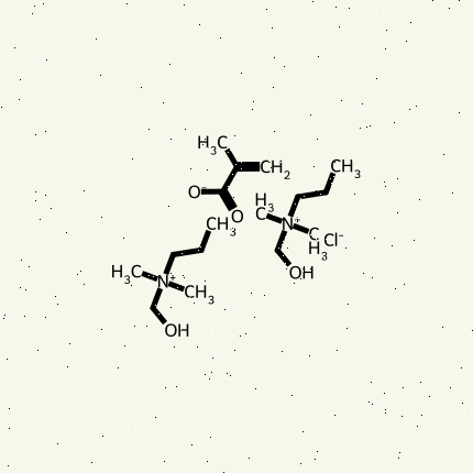 C=C(C)C(=O)[O-].CCC[N+](C)(C)CO.CCC[N+](C)(C)CO.[Cl-]